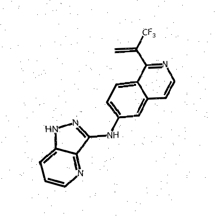 C=C(c1nccc2cc(Nc3n[nH]c4cccnc34)ccc12)C(F)(F)F